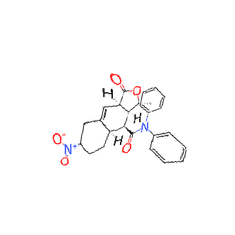 C[C@H]1OC(=O)[C@@H]2C=C3C[C@@H]([N+](=O)[O-])CC[C@@H]3[C@H](C(=O)N(c3ccccc3)c3ccccc3)[C@H]12